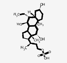 CC[C@H]1[C@H](O)C2C3CC[C@H]([C@H](C)CCOS(=O)(=O)O)[C@@]3(C)[C@@H](O)CC2[C@@]2(C)CC[C@@H](O)C[C@@H]12